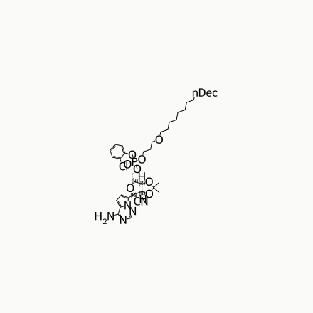 CCCCCCCCCCCCCCCCCCOCCCOP(=O)(OC[C@H]1O[C@@](C#N)(c2ccc3c(N)ncnn23)[C@@H]2OC(C)(C)O[C@@H]21)Oc1ccccc1Cl